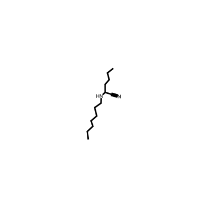 CCCCCCCNC(C#N)CCCC